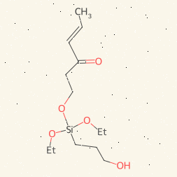 CC=CC(=O)CCO[Si](CCCO)(OCC)OCC